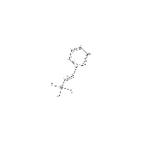 C[Si](C)(C)/C=C/c1ccccc1